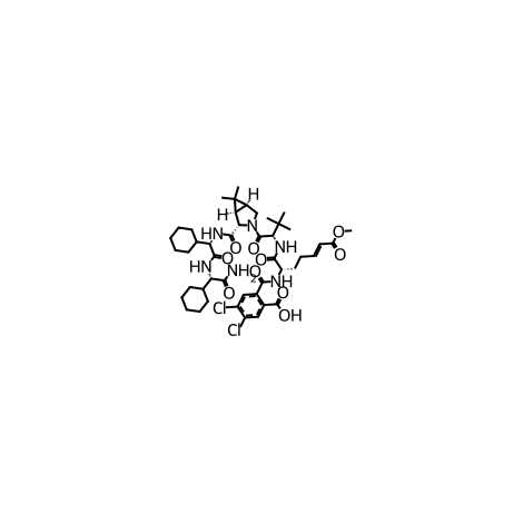 COC(=O)/C=C/CC[C@H](NC(=O)c1cc(Cl)c(Cl)cc1C(=O)O)C(=O)N[C@H](C(=O)N1C[C@H]2[C@@H]([C@H]1C(=O)N[C@H](C(=O)N[C@H](C(N)=O)C1CCCCC1)C1CCCCC1)C2(C)C)C(C)(C)C